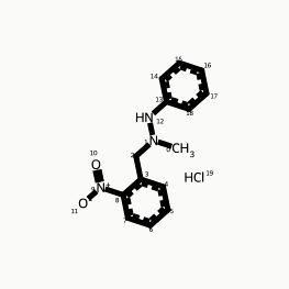 CN(Cc1ccccc1[N+](=O)[O-])Nc1ccccc1.Cl